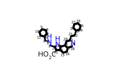 O=C(O)c1c(CNCc2ccccc2)[nH]c2c1ccc1cnc(C=Cc3ccccc3)cc12